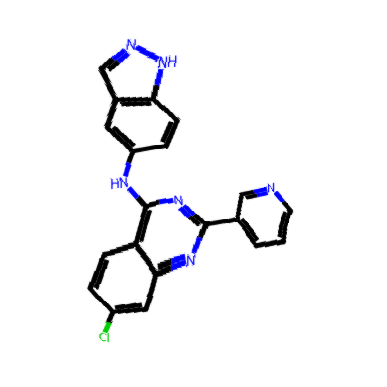 Clc1ccc2c(Nc3ccc4[nH]ncc4c3)nc(-c3cccnc3)nc2c1